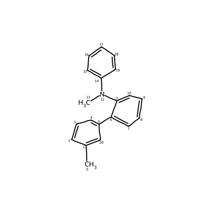 Cc1cccc(-c2ccccc2N(C)c2ccccc2)c1